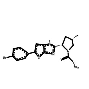 C[C@H]1C[C@@H](c2nc3sc(-c4ccc(Br)cc4)cc3[nH]2)N(C(=O)OC(C)(C)C)C1